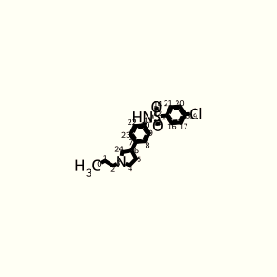 CCCN1CCC(c2ccc(NS(=O)(=O)c3ccc(Cl)cc3)cc2)C1